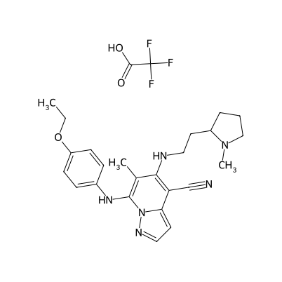 CCOc1ccc(Nc2c(C)c(NCCC3CCCN3C)c(C#N)c3ccnn23)cc1.O=C(O)C(F)(F)F